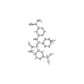 Cl.N=C(N)c1cccc(N/C(=C2\C(=O)Nc3ccc([N+](=O)[O-])cc32)c2ccccc2)c1